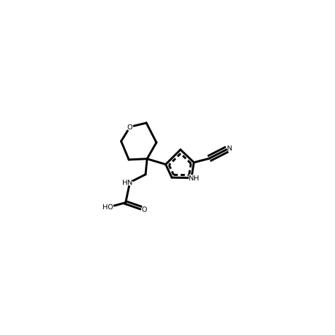 N#Cc1cc(C2(CNC(=O)O)CCOCC2)c[nH]1